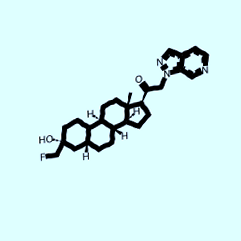 C[C@]12CC[C@@H]3C4CC[C@](O)(CF)C[C@H]4CC[C@H]3[C@@H]1CC[C@@H]2C(=O)Cn1ncc2ccncc21